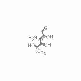 C[C@@H](O)[C@H](O)[C@H](N)[C@H](O)C=O